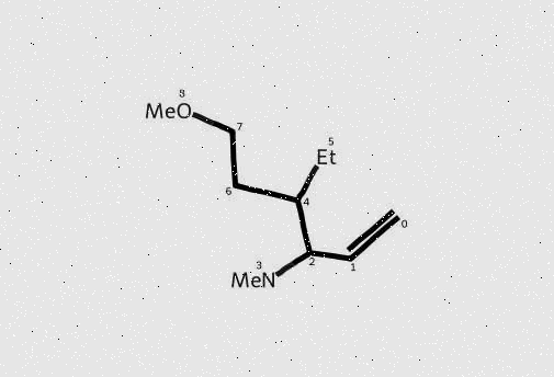 C=CC(NC)C(CC)CCOC